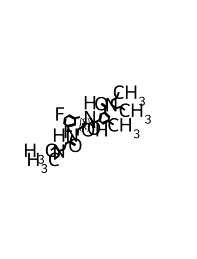 CCCN(CCC)C(=O)c1cc(C)cc(C(=O)N[C@@H](Cc2cc(F)cc(F)c2)[C@H](O)CCNC(=O)CCN(CC)CC)c1